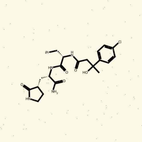 CC(C)C[C@H](NC(=O)CC(C)(O)c1ccc(Cl)cc1)C(=O)N[C@@H](C[C@@H]1CCNC1=O)C(N)=O